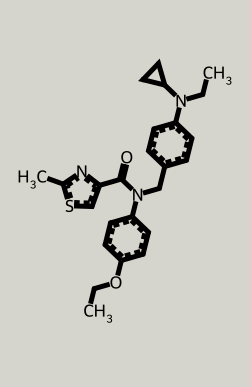 CCOc1ccc(N(Cc2ccc(N(CC)C3CC3)cc2)C(=O)c2csc(C)n2)cc1